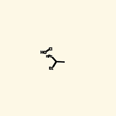 CCCC(C)CC.OCl